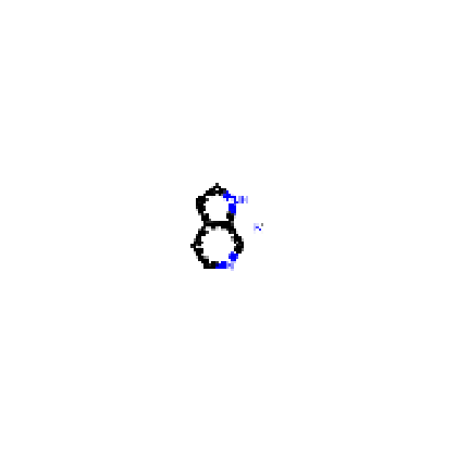 [N].c1cc2cc[nH]c2cn1